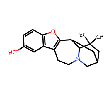 CCC1(C)CC2CC3c4oc5ccc(O)cc5c4CCN(C2)C31